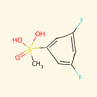 CS(=O)(O)(O)c1cc(F)cc(F)c1